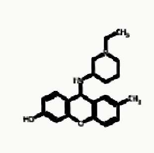 CCN1CCCC(NC2c3ccc(O)cc3Oc3ccc(C)cc32)C1